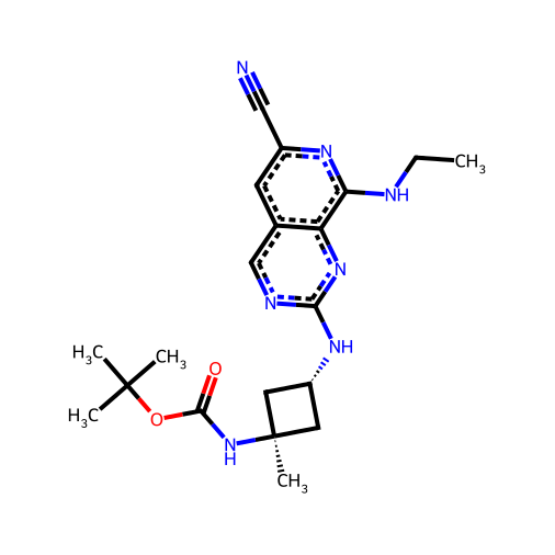 CCNc1nc(C#N)cc2cnc(N[C@H]3C[C@](C)(NC(=O)OC(C)(C)C)C3)nc12